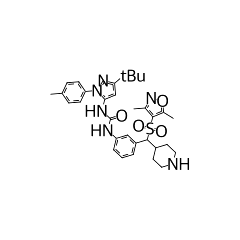 Cc1ccc(-n2nc(C(C)(C)C)cc2NC(=O)Nc2cccc(C(C3CCNCC3)S(=O)(=O)c3c(C)noc3C)c2)cc1